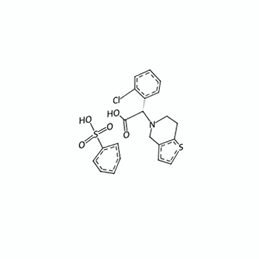 O=C(O)[C@H](c1ccccc1Cl)N1CCc2sccc2C1.O=S(=O)(O)c1ccccc1